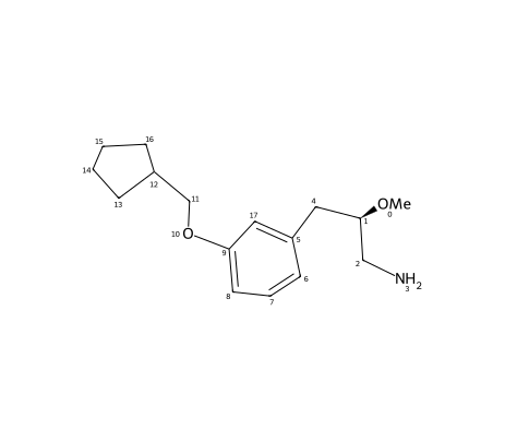 CO[C@@H](CN)Cc1cccc(OCC2CCCC2)c1